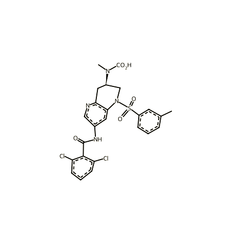 Cc1cccc(S(=O)(=O)N2C[C@H](N(C)C(=O)O)Cc3ncc(NC(=O)c4c(Cl)cccc4Cl)cc32)c1